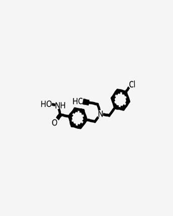 C#CCN(Cc1ccc(Cl)cc1)Cc1ccc(C(=O)NO)cc1